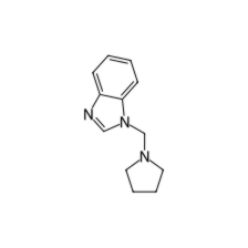 c1ccc2c(c1)ncn2CN1CCCC1